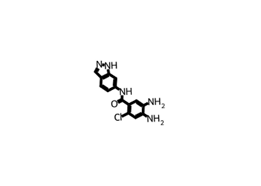 Nc1cc(Cl)c(C(=O)Nc2ccc3cn[nH]c3c2)cc1N